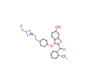 O=C(c1ccccc1C(F)(F)F)c1sc2cc(O)ccc2c1Oc1ccc(CCN2CC(CF)C2)cc1